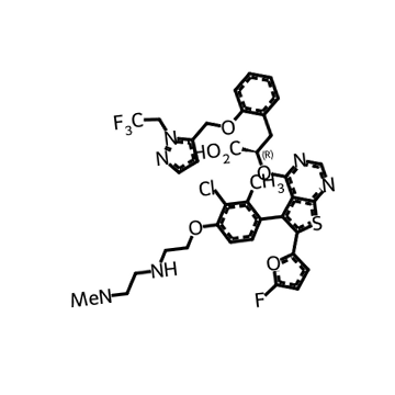 CNCCNCCOc1ccc(-c2c(-c3ccc(F)o3)sc3ncnc(O[C@H](Cc4ccccc4OCc4ccnn4CC(F)(F)F)C(=O)O)c23)c(C)c1Cl